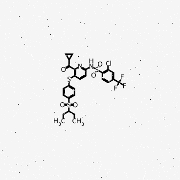 CCC(CC)S(=O)(=O)c1ccc(Sc2ccc(NS(=O)(=O)c3ccc(C(F)(F)F)cc3Cl)nc2C(=O)C2CC2)cc1